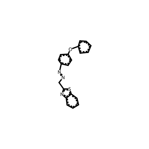 c1ccc(Oc2ccc(N=NCc3nc4ccccc4s3)cc2)cc1